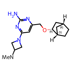 CNC1CN(c2cc(CO[C@@H]3C[C@@H]4CC[C@H]3C4)nc(N)n2)C1